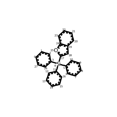 c1ccc([Si](c2ccccc2)(c2ccccc2)c2cc3ccccc3o2)cc1